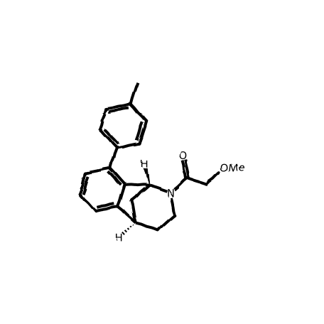 COCC(=O)N1CC[C@@H]2C[C@@H]1c1c(-c3ccc(C)cc3)cccc12